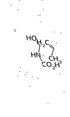 C=CC.O=C(O)NCO